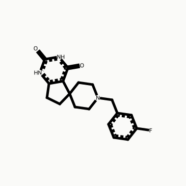 O=c1[nH]c2c(c(=O)[nH]1)C1(CC2)CCN(Cc2cccc(F)c2)CC1